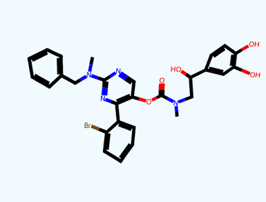 CN(CC(O)c1ccc(O)c(O)c1)C(=O)Oc1cnc(N(C)Cc2ccccc2)nc1-c1ccccc1Br